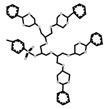 Cc1ccc(S(=O)(=O)OC(COC(COC2COC(c3ccccc3)OC2)COC2COC(c3ccccc3)OC2)COC(COC2COC(c3ccccc3)OC2)COC2COC(c3ccccc3)OC2)cc1